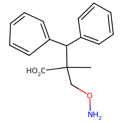 CC(CON)(C(=O)O)C(c1ccccc1)c1ccccc1